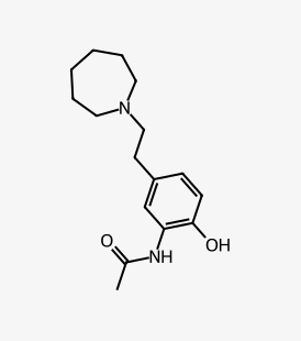 CC(=O)Nc1cc(CCN2CCCCCC2)ccc1O